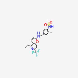 Cc1cc(CNC(=O)/C=C\c2ccc(C(F)(F)F)nc2C(C)C)ccc1NS(C)(=O)=O